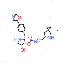 O=C(NCC[C@H]1CC2(CC2)CN1)O[C@@H]1[C@@H](O)CN[C@@H]1Cc1ccc(-c2cnco2)cc1